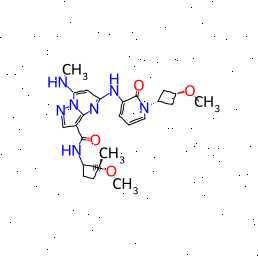 CNc1cc(Nc2cccn([C@H]3C[C@H](OC)C3)c2=O)nc2c(C(=O)NC3CC[C@@]3(C)OC)cnn12